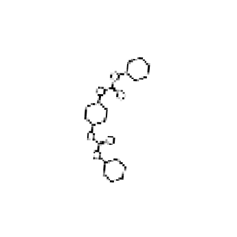 O=C(OC1CCCCC1)OC1CCC(OC(=O)OC2CCCCC2)CC1